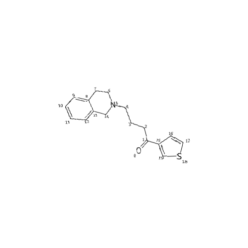 O=C(CCCN1CCc2ccccc2C1)c1ccsc1